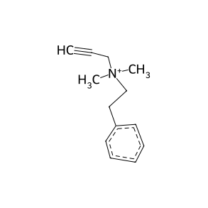 C#CC[N+](C)(C)CCc1ccccc1